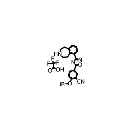 CC(C)Oc1ccc(-c2nc(-c3cccc4c3CCNCC4)no2)cc1C#N.O=C(O)C(F)(F)F